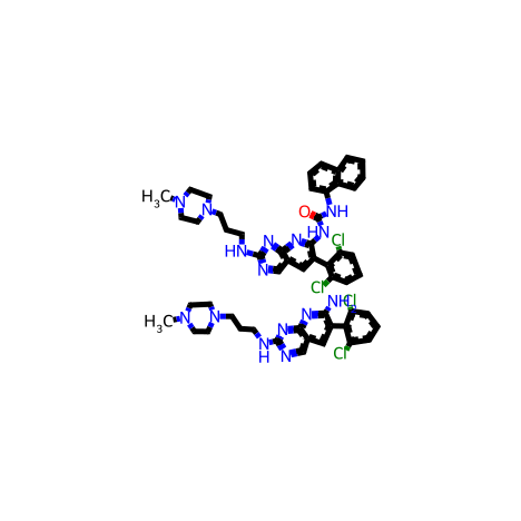 CN1CCN(CCCNc2ncc3cc(-c4c(Cl)cccc4Cl)c(N)nc3n2)CC1.CN1CCN(CCCNc2ncc3cc(-c4c(Cl)cccc4Cl)c(NC(=O)Nc4cccc5ccccc45)nc3n2)CC1